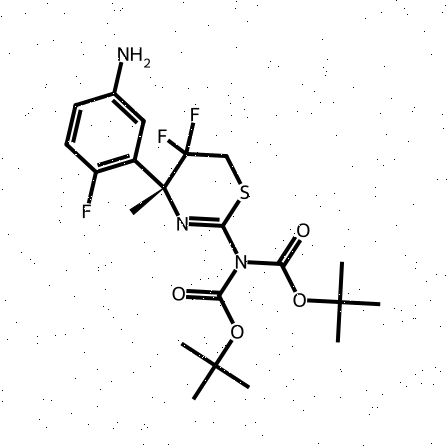 CC(C)(C)OC(=O)N(C(=O)OC(C)(C)C)C1=N[C@](C)(c2cc(N)ccc2F)C(F)(F)CS1